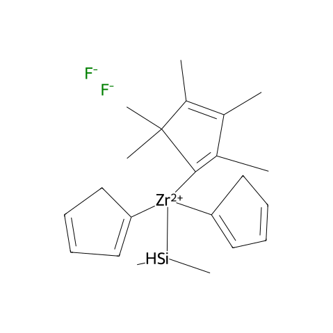 CC1=C(C)C(C)(C)[C]([Zr+2]([C]2=CC=CC2)([C]2=CC=CC2)[SiH](C)C)=C1C.[F-].[F-]